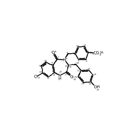 O=C(O)c1ccc(CN2C(=O)c3ccc(Cl)cc3NC(=O)[C@@H]2Cc2ccc(O)cc2)cc1